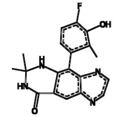 Cc1c(-c2c3c(cc4nccnc24)C(=O)NC(C)(C)N3)ccc(F)c1O